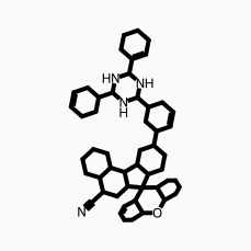 N#CC1CC2C(C3CCCCC13)C1CC(C3C=CCC(C4NC(C5=CCCCC5)NC(C5CC=CCC5)N4)C3)CCC1C21C2C=CCCC2OC2CCCCC21